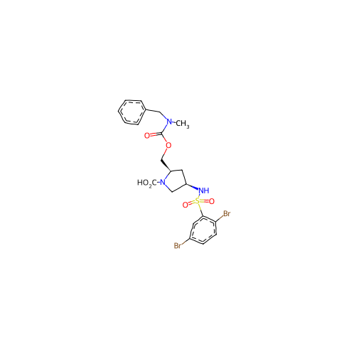 CN(Cc1ccccc1)C(=O)OC[C@H]1C[C@@H](NS(=O)(=O)c2cc(Br)ccc2Br)CN1C(=O)O